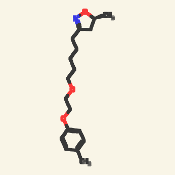 Cc1ccc(OCCOCCCCCC2=NO[C@@H](C)C2)cc1